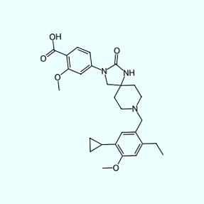 CCc1cc(OC)c(C2CC2)cc1CN1CCC2(CC1)CN(c1ccc(C(=O)O)c(OC)c1)C(=O)N2